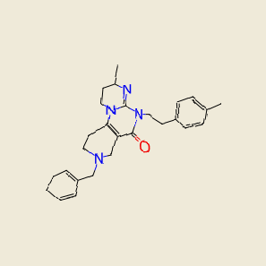 Cc1ccc(CCN2C(=O)C3=C(CCN(CC4=CCCC=C4)C3)N3CCC(C)N=C23)cc1